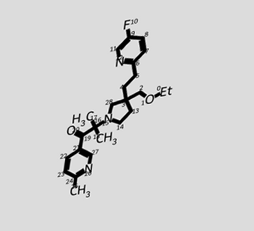 CCOCC1(CCc2ccc(F)cn2)CCN(C(C)(C)C(=O)c2ccc(C)nc2)C1